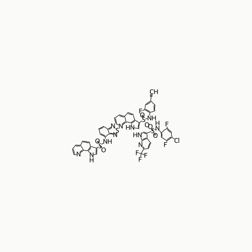 C#Cc1ccc(NS(=O)(=O)c2c[nH]c3c2ccc2cccnc23)c(F)c1.O=S(=O)(Nc1cc(F)c(Cl)cc1F)c1c[nH]c2nc(C(F)(F)F)ccc12.O=S(=O)(Nc1cccc2nsnc12)c1c[nH]c2c1ccc1cccnc12